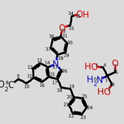 NC(CO)(CO)CO.O=C(O)CCc1ccc2c(c1)c(CCc1ccccc1)cn2-c1ccc(OCCO)cc1